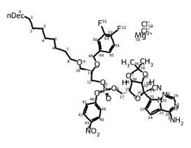 CCCCCCCCCCCCCCCCCCOC[C@H](COP(=O)(OC[C@H]1O[C@@](C#N)(c2ccc3c(N)ncnn23)[C@@H]2OC(C)(C)O[C@@H]21)Oc1ccc([N+](=O)[O-])cc1)OCc1ccc(F)c(F)c1.[Cl-].[Cl-].[Mg+2]